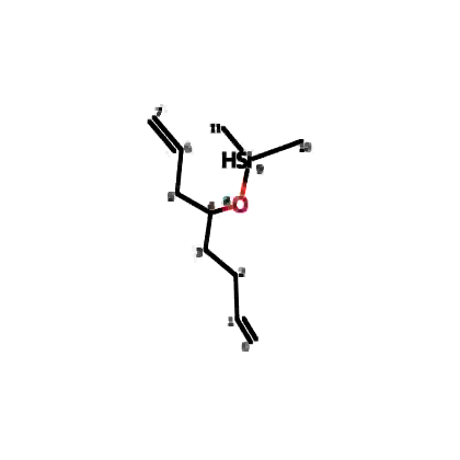 C=CCCC(CC=C)O[SiH](C)C